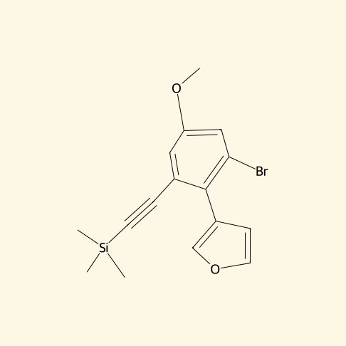 COc1cc(Br)c(-c2ccoc2)c(C#C[Si](C)(C)C)c1